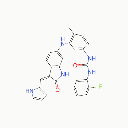 Cc1ccc(NC(=O)Nc2ccccc2F)cc1Nc1ccc2c(c1)NC(=O)C2=Cc1ccc[nH]1